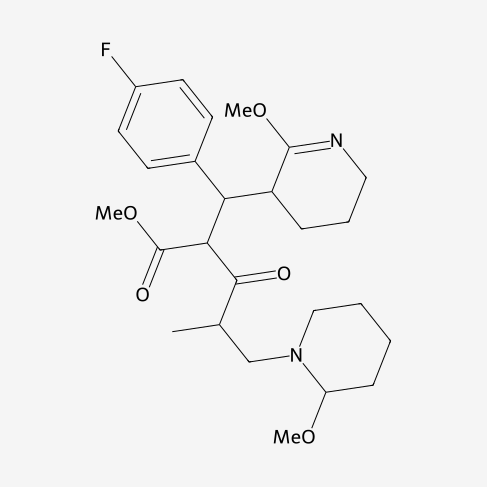 COC(=O)C(C(=O)C(C)CN1CCCCC1OC)C(c1ccc(F)cc1)C1CCCN=C1OC